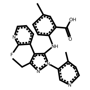 CCc1nn(-c2cnccc2C)c(Nc2ccc(C)cc2C(=O)O)c1-c1cccnc1F